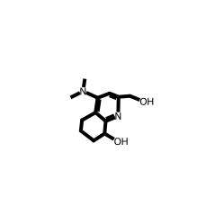 CN(C)c1cc(CO)nc2c1CCCC2O